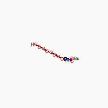 CC(C)(C)OC(=O)NCc1ccc(OCCOCCOCCOCCOCCOCCOCCO)cc1